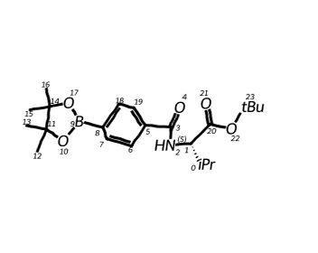 CC(C)[C@H](NC(=O)c1ccc(B2OC(C)(C)C(C)(C)O2)cc1)C(=O)OC(C)(C)C